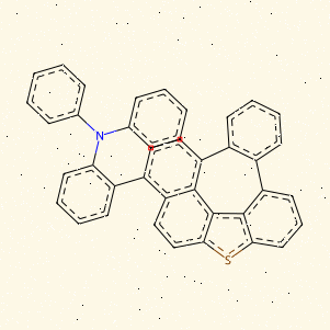 c1ccc(N(c2ccccc2)c2ccccc2-c2ccc3c4c2ccc2sc5cccc(c5c24)-c2ccccc2-3)cc1